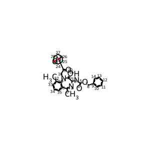 CC1=NC(NC(=O)OCc2ccccc2)C(=O)N(CC(=O)N2CC3CCC(CC3)C2)c2c(C)cccc21